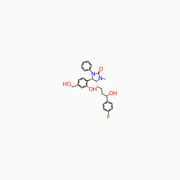 CN1C(=O)N(c2ccccc2)[C@H](c2ccc(CO)cc2O)[C@H]1CCCC(O)c1ccc(F)cc1